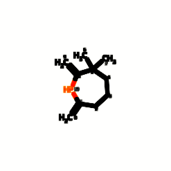 C=C1CCCC(C)(C)C(=C)P1